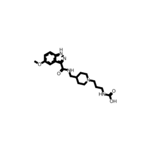 COc1ccc2[nH]nc(C(=O)NCC3CCN(CCCNC(=O)O)CC3)c2c1